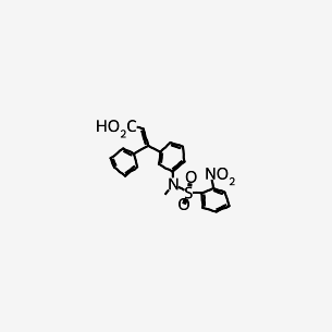 CN(c1cccc(C(=CC(=O)O)c2ccccc2)c1)S(=O)(=O)c1ccccc1[N+](=O)[O-]